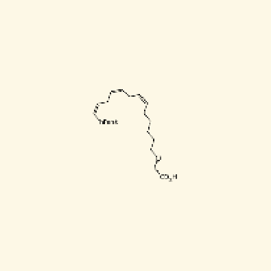 CCCCC/C=C\C/C=C\C/C=C\CCCCCOCC(=O)O